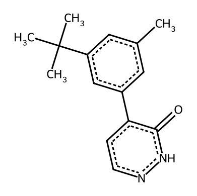 Cc1cc(-c2ccn[nH]c2=O)cc(C(C)(C)C)c1